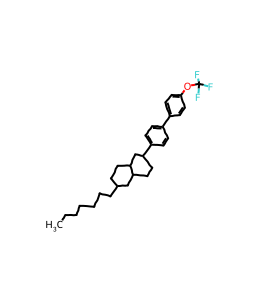 CCCCCCCC1CCC2CC(c3ccc(-c4ccc(OC(F)(F)F)cc4)cc3)CCC2C1